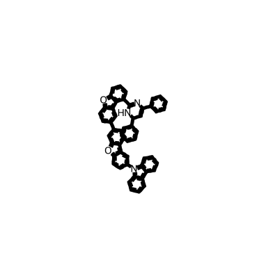 C1=C(c2ccccc2)N=C(c2cccc3oc4ccc(-c5ccc6c(c5)oc5ccc(-n7c8ccccc8c8ccccc87)cc56)cc4c23)NC1c1ccccc1